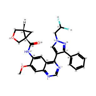 COc1cc2ncnc(-c3cn(CC(F)F)nc3-c3ccccc3)c2cc1NC(=O)[C@@]12COC[C@@H]1C2